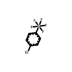 CCc1ccc(S(F)(F)(F)(F)F)cc1